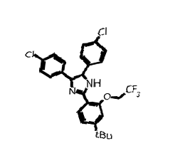 CC(C)(C)c1ccc(C2=NC(c3ccc(Cl)cc3)C(c3ccc(Cl)cc3)N2)c(OCC(F)(F)F)c1